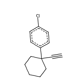 C#CC1(c2ccc(Cl)cc2)CCCCC1